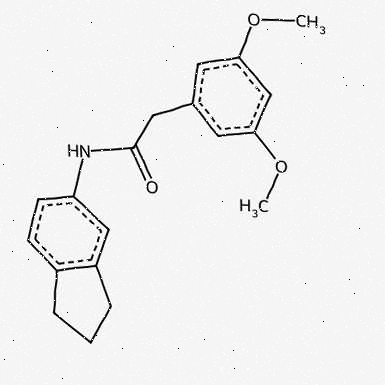 COc1cc(CC(=O)Nc2ccc3c(c2)CCC3)cc(OC)c1